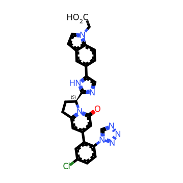 O=C(O)Cn1ccc2cc(-c3cnc([C@@H]4CCc5cc(-c6cc(Cl)ccc6-n6cnnn6)cc(=O)n54)[nH]3)ccc21